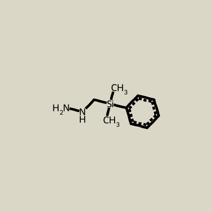 C[Si](C)(CNN)c1ccccc1